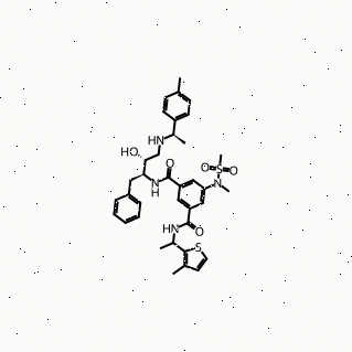 Cc1ccc([C@@H](C)NC[C@@H](O)[C@H](Cc2ccccc2)NC(=O)c2cc(C(=O)NC(C)c3sccc3C)cc(N(C)S(C)(=O)=O)c2)cc1